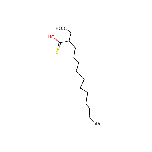 CCCCCCCCCCCCCCCCCCCCC(CC(=O)O)C(O)=S